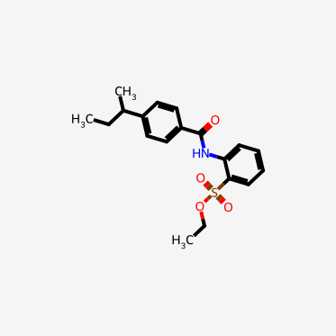 CCOS(=O)(=O)c1ccccc1NC(=O)c1ccc(C(C)CC)cc1